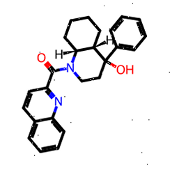 O=C(c1ccc2ccccc2n1)N1CCC(O)(c2ccccc2)[C@H]2CCCC[C@H]21